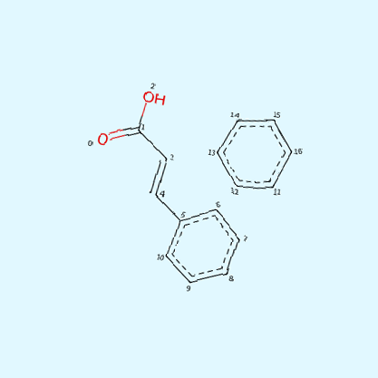 O=C(O)/C=C/c1ccccc1.c1ccccc1